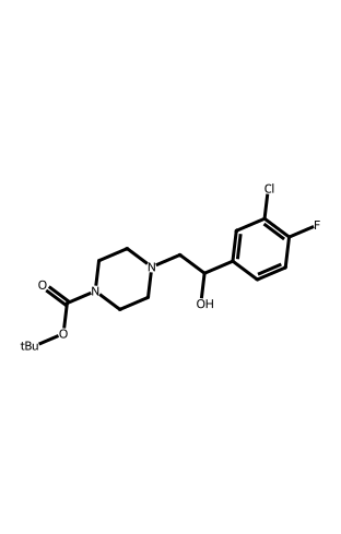 CC(C)(C)OC(=O)N1CCN(CC(O)c2ccc(F)c(Cl)c2)CC1